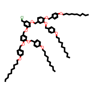 CCCCCCCCCCOc1ccc(COc2ccc(COc3cc(CCl)cc(OCc4ccc(OCc5ccc(OCCCCCCCCCC)cc5)c(OCc5ccc(OCCCCCCCCCC)cc5)c4)c3)cc2OCc2ccc(OCCCCCCCCCC)cc2)cc1